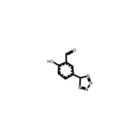 O=Cc1cc(C2N=NN=N2)ccc1O